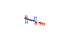 COCOCCSC(=O)NCCCCCCNC(C)=O